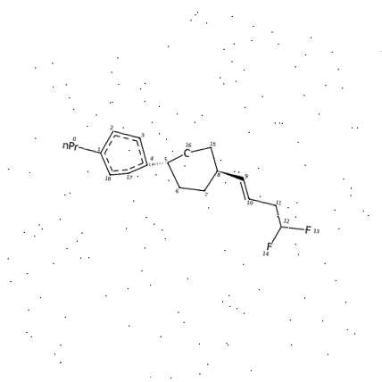 CCCc1ccc([C@H]2CC[C@H](/C=C/CC(F)F)CC2)cc1